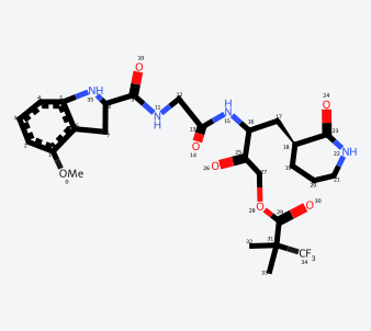 COc1cccc2c1CC(C(=O)NCC(=O)NC(C[C@@H]1CCCNC1=O)C(=O)COC(=O)C(C)(C)C(F)(F)F)N2